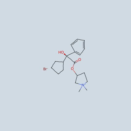 C[N+]1(C)CCC(OC(=O)[C@@](O)(c2ccccc2)C2CCCC2)C1.[Br-]